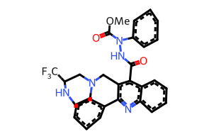 COC(=O)N(NC(=O)c1c(CN2CCNC(C(F)(F)F)C2)c(-c2ccccc2)nc2ccccc12)c1ccccc1